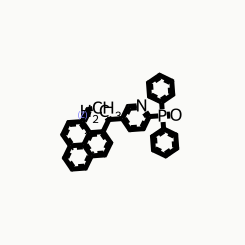 C=C(c1ccc(P(=O)(c2ccccc2)c2ccccc2)nc1)c1ccc2cccc3cc/c(=C/C)c1c23